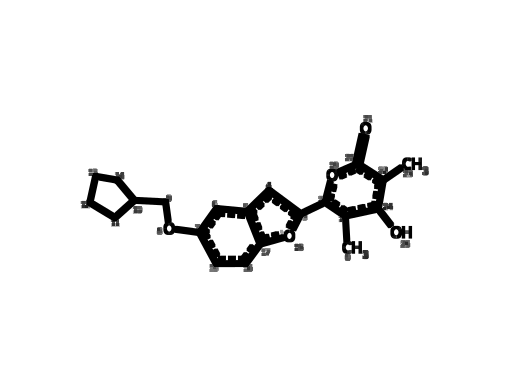 Cc1c(-c2cc3cc(OCC4CCCC4)ccc3o2)oc(=O)c(C)c1O